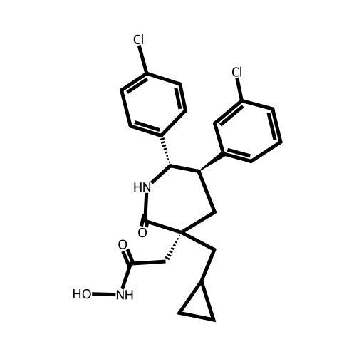 O=C(C[C@@]1(CC2CC2)C[C@H](c2cccc(Cl)c2)[C@@H](c2ccc(Cl)cc2)NC1=O)NO